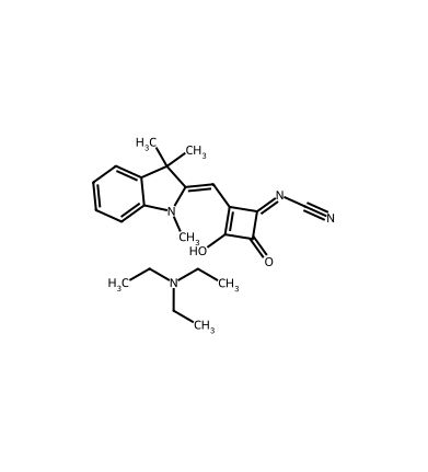 CCN(CC)CC.CN1C(=Cc2c(O)c(=O)c2=NC#N)C(C)(C)c2ccccc21